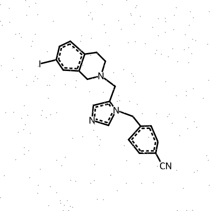 N#Cc1ccc(Cn2cncc2CN2CCc3ccc(I)cc3C2)cc1